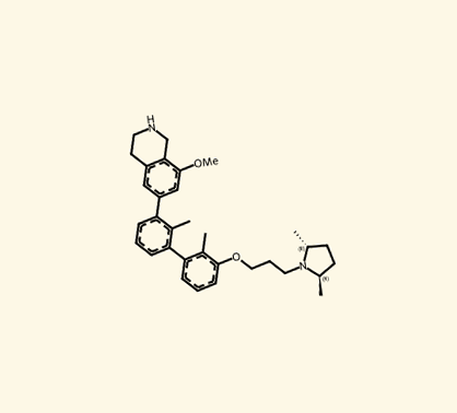 COc1cc(-c2cccc(-c3cccc(OCCCN4[C@H](C)CC[C@H]4C)c3C)c2C)cc2c1CNCC2